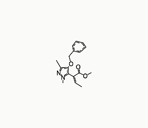 CC=C(C(=O)OC)c1c(OCc2ccccc2)c(C)nn1C